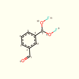 O=Cc1cccc(B(OF)OF)c1